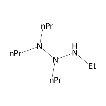 CCCN(CCC)N(CCC)NCC